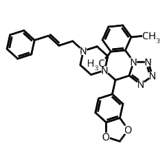 Cc1cccc(C)c1-n1nnnc1C(c1ccc2c(c1)OCO2)N1CCN(CC=Cc2ccccc2)CC1